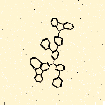 c1ccc(-c2cccc(N(c3ccc(-c4ccc(-n5c6ccccc6c6ccccc65)cc4)c(-c4ccccc4)c3)c3cc4c5c(cccc5c3)-c3ccccc3-4)c2)cc1